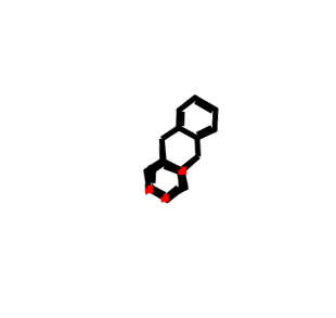 c1ccc2c(c1)C1c3ccccc3C2c2cnccc21